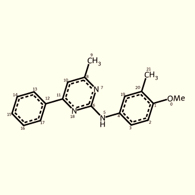 COc1ccc(Nc2nc(C)cc(-c3ccccc3)n2)cc1C